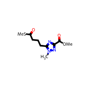 COC(=O)c1nc(CCCC(=O)SC)n(C)n1